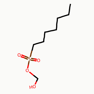 CCCCCCCS(=O)(=O)OCO